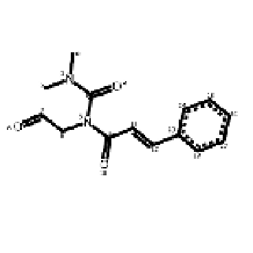 CN(C)C(=O)N(C[C]=O)C(=O)/C=C/c1ccccc1